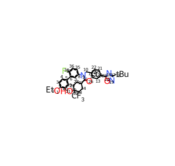 CCOc1ccc(-c2cc(N(CC34CCC(c5nc(C(C)(C)C)no5)(CC3)CC4)C(=O)C3CCC(O)(C(F)(F)F)CC3)ccc2F)cc1